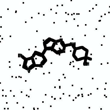 CCc1cnc2ncc(-c3ccn4nc(NC5CCC(C)(O)CC5)ncc34)cn12